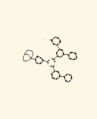 C[C@@H]1C[C@@H]2C[C@H](C)CC(c3ccc(-c4nc(-c5cccc(-c6ccccc6)c5)nc(-c5cc(-c6ccccc6)cc(-c6cccc(C#N)c6)c5)n4)cc3)(C1)C2